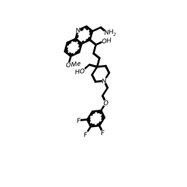 COc1ccc2ncc(CN)c(C(O)CCC3(CO)CCN(CCOc4cc(F)c(F)c(F)c4)CC3)c2c1